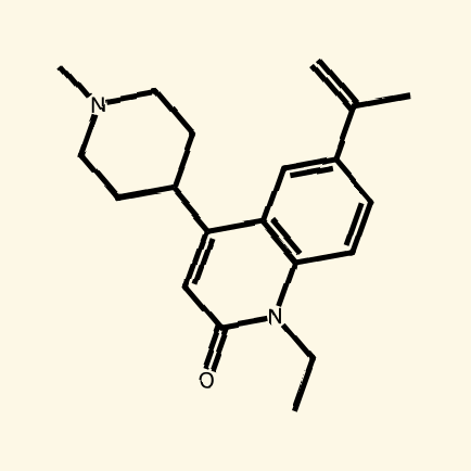 C=C(C)c1ccc2c(c1)c(C1CCN(C)CC1)cc(=O)n2CC